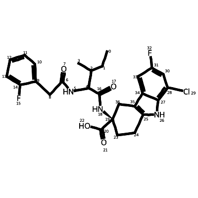 CCC(C)C(NC(=O)Cc1ccccc1F)C(=O)N[C@]1(C(=O)O)CCc2[nH]c3c(Cl)cc(F)cc3c2C1